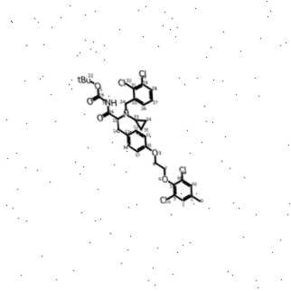 Cc1cc(Cl)c(OCCOc2ccc(C[C@@H](C(=O)NC(=O)OC(C)(C)C)N(Cc3cccc(Cl)c3Cl)C3CC3)cc2)c(Cl)c1